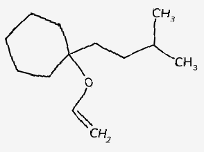 C=COC1(CCC(C)C)CCCCC1